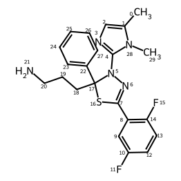 Cc1cnc(N2N=C(c3cc(F)ccc3F)SC2(CCCN)c2ccccc2)n1C